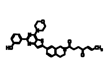 C/C=C/C(=O)CCC(=O)N1CCc2ccc(-c3cc4nc(-c5cccc(O)c5)nc(N5CCOCC5)c4s3)cc2C1